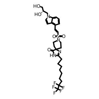 O=C1NC(CCCCCCCC(F)(F)C(F)(F)F)=NC12CCN(S(=O)(=O)C=Cc1cccc3c1ccn3C[C@H](O)CO)CC2